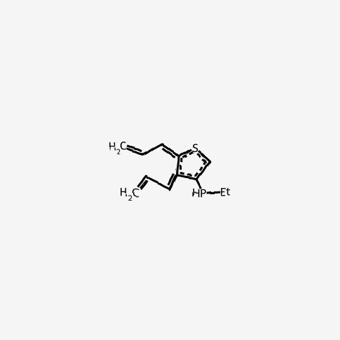 C=C/C=c1/c(PCC)cs/c1=C/C=C